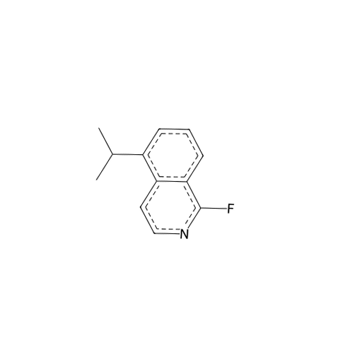 CC(C)c1cccc2c(F)nccc12